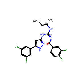 COC[C@H](C)N/C(=N/C(=O)c1ccc(F)c(F)c1)Nc1cc(-c2cc(F)cc(Cl)c2)[nH]n1